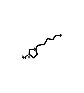 [2H][C@H]1CCN(CCCCCF)C1